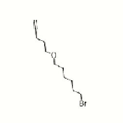 C#CCCCOCCCCCCBr